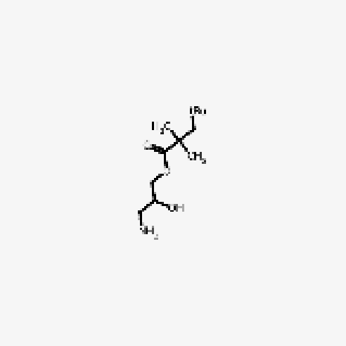 CC(C)(C)CC(C)(C)C(=O)OCC(O)CN